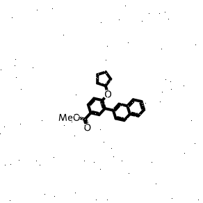 COC(=O)c1ccc(OC2CCCC2)c(-c2ccc3ccccc3c2)c1